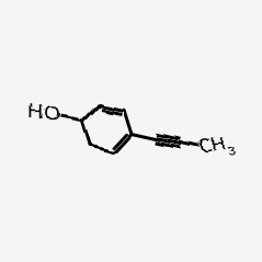 CC#CC1=CCC(O)C=C1